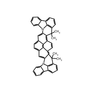 CC1(C)c2c(cc3ccc4cc5c(c6ccc2c3c46)C(C)(C)c2cccc3c4ccccc4n-5c23)-n2c3ccccc3c3cccc1c32